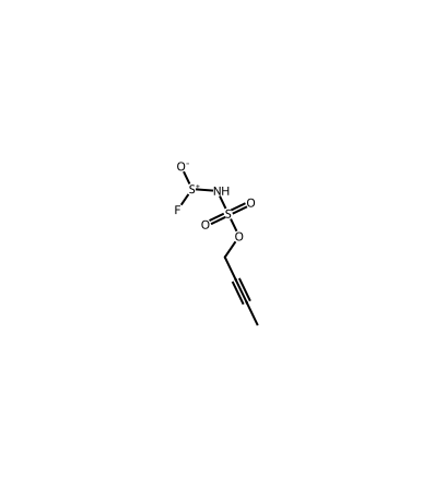 CC#CCOS(=O)(=O)N[S+]([O-])F